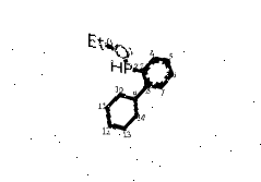 CCOPc1ccccc1C1CCCCC1